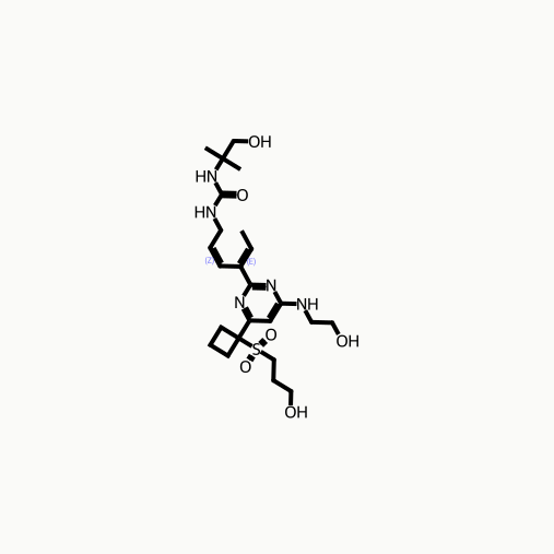 C/C=C(\C=C/CNC(=O)NC(C)(C)CO)c1nc(NCCO)cc(C2(S(=O)(=O)CCCO)CCC2)n1